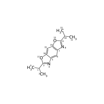 CC(C)c1nc2cc3nc(C(C)C)oc3cc2o1